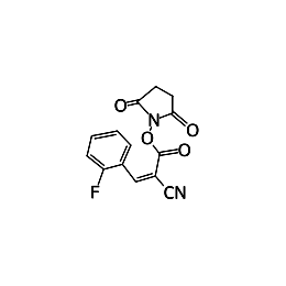 N#C/C(=C/c1ccccc1F)C(=O)ON1C(=O)CCC1=O